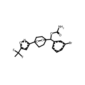 CC(F)(F)c1cc(C23CCC(C(OC(N)=O)c4cccc(Br)c4)(CC2)CC3)no1